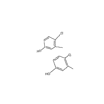 Cc1cc(O)ccc1Cl.Cc1cc(O)ccc1Cl